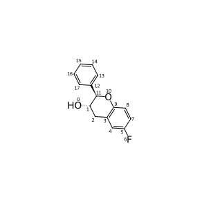 O[C@H]1Cc2cc(F)ccc2O[C@@H]1c1ccccc1